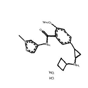 COc1ccc(C2CC2NC2CCC2)cc1C(=O)Nc1cnn(C)c1.Cl.Cl